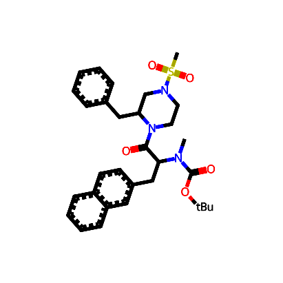 CN(C(=O)OC(C)(C)C)C(Cc1ccc2ccccc2c1)C(=O)N1CCN(S(C)(=O)=O)CC1Cc1ccccc1